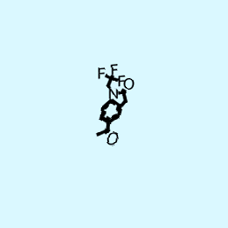 CC(=O)c1ccc2c(c1)CC(=O)N2CC(F)(F)F